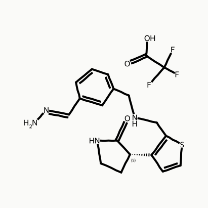 NN=Cc1cccc(CNCc2sccc2[C@@H]2CCNC2=O)c1.O=C(O)C(F)(F)F